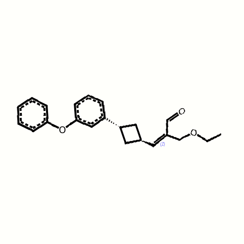 CCOC/C(C=O)=C/[C@H]1C[C@H](c2cccc(Oc3ccccc3)c2)C1